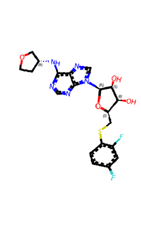 O[C@@H]1[C@H](O)[C@H](n2cnc3c(N[C@@H]4CCOC4)ncnc32)O[C@@H]1CSc1ccc(F)cc1F